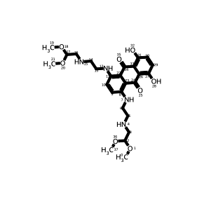 COC(CNCCNc1ccc(NCCNCC(OC)OC)c2c1C(=O)c1c(O)ccc(O)c1C2=O)OC